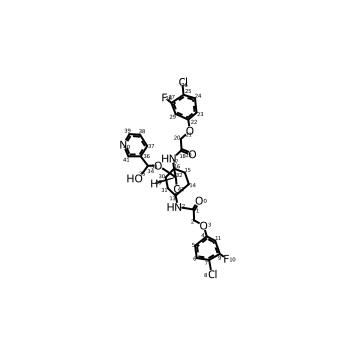 O=C(COc1ccc(Cl)c(F)c1)NC12CCC(NC(=O)COc3ccc(Cl)c(F)c3)(CC1)[C@@H](OC(O)c1cccnc1)C2